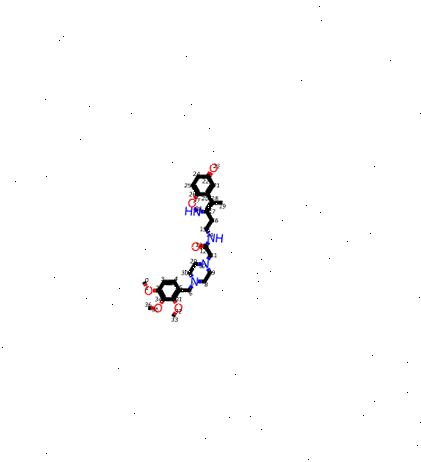 COc1ccc(CN2CCN(CC(=O)NCCC3=C(C)C4=CC(=O)CC=C4ON3)CC2)c(OC)c1OC